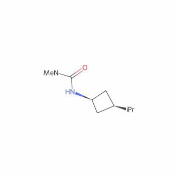 CNC(=O)N[C@H]1C[C@@H](C(C)C)C1